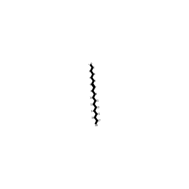 [CH2]CCCCCC=CCCCCCCCCCCC